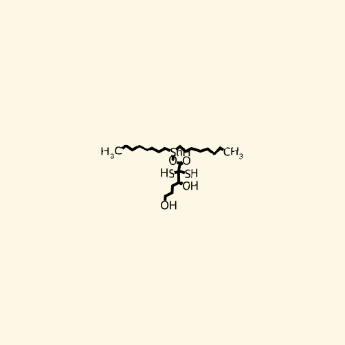 CCCCCCC[CH2][SnH]([CH2]CCCCCCC)[O]C(=O)C(S)(S)C(O)CCCO